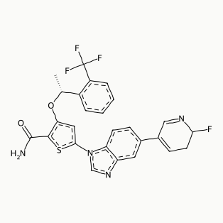 C[C@@H](Oc1cc(-n2cnc3cc(C4=CCC(F)N=C4)ccc32)sc1C(N)=O)c1ccccc1C(F)(F)F